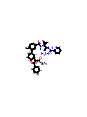 C=C(N/C(=N\N)c1ccccn1)C1(NC(=O)c2ccc(C)c(-c3ccc4oc(-c5ccc(F)cc5)c(C(=O)NC)c4c3)c2)CC1